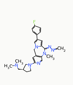 C=N/N=C1/c2cc(-c3ccc(F)cc3)cn2Cc2cc(N3CC[C@@H](CN(C)C)C3)ncc2N1C